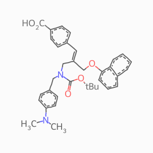 CN(C)c1ccc(CN(CC(=Cc2ccc(C(=O)O)cc2)COc2cccc3ccccc23)C(=O)OC(C)(C)C)cc1